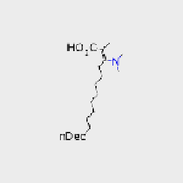 CCCCCCCCCCCCCCCCCC/C(=C(/C)C(=O)O)N(C)C